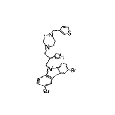 O[C@H](CN1CCN(Cc2ccsc2)CC1)Cn1c2ccc(Br)cc2c2cc(Br)ccc21